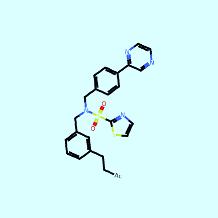 CC(=O)CCc1cccc(CN(Cc2ccc(-c3cnccn3)cc2)S(=O)(=O)c2nccs2)c1